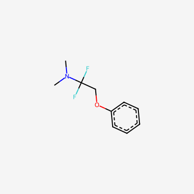 CN(C)C(F)(F)COc1ccccc1